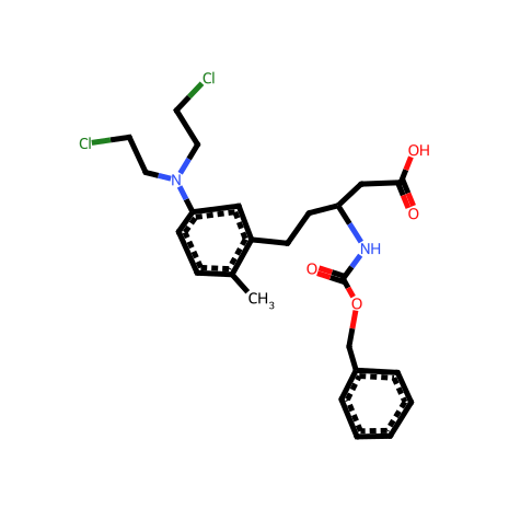 Cc1ccc(N(CCCl)CCCl)cc1CCC(CC(=O)O)NC(=O)OCc1ccccc1